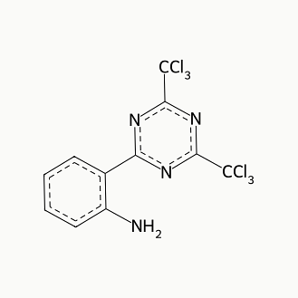 Nc1ccccc1-c1nc(C(Cl)(Cl)Cl)nc(C(Cl)(Cl)Cl)n1